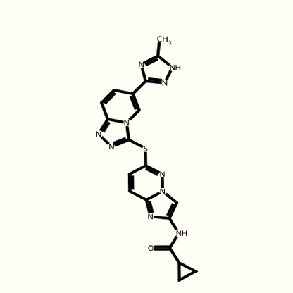 Cc1nc(-c2ccc3nnc(Sc4ccc5nc(NC(=O)C6CC6)cn5n4)n3c2)n[nH]1